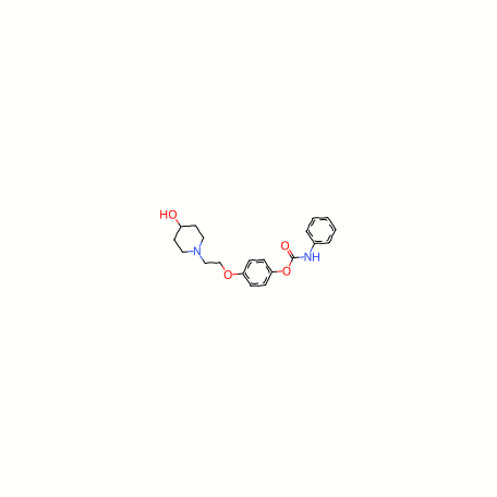 O=C(Nc1ccccc1)Oc1ccc(OCCN2CCC(O)CC2)cc1